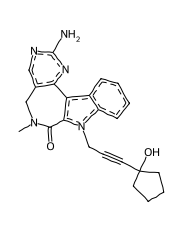 CN1Cc2cnc(N)nc2-c2c(n(CC#CC3(O)CCCC3)c3ccccc23)C1=O